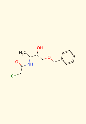 CC(NC(=O)CCl)C(O)COCc1ccccc1